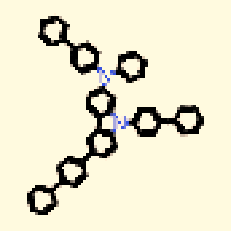 c1ccc(-c2ccc(-c3ccc4c(c3)c3ccc(N(c5ccccc5)c5ccc(-c6ccccc6)cc5)cc3n4-c3ccc(-c4ccccc4)cc3)cc2)cc1